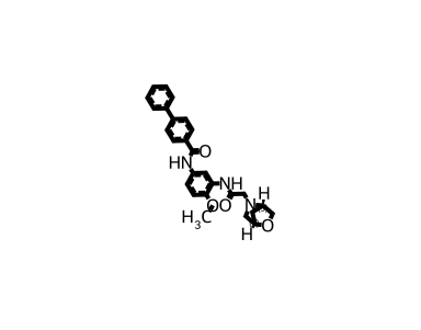 COc1ccc(NC(=O)c2ccc(-c3ccccc3)cc2)cc1NC(=O)CN1C[C@@H]2C[C@H]1CO2